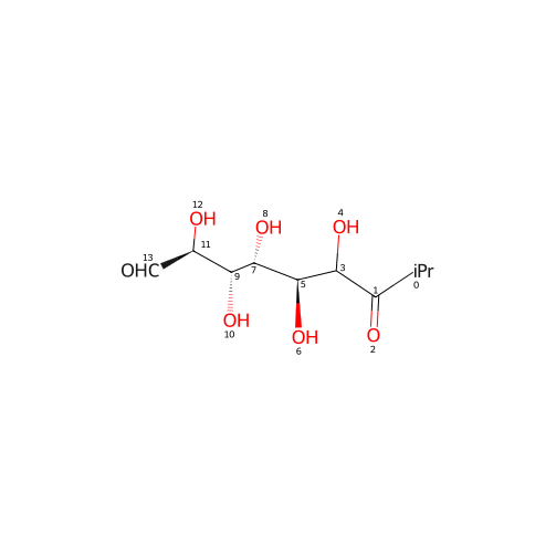 CC(C)C(=O)C(O)[C@@H](O)[C@@H](O)[C@H](O)[C@H](O)C=O